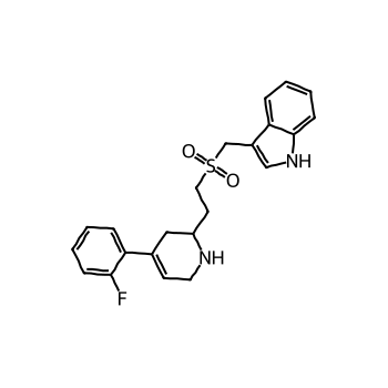 O=S(=O)(CCC1CC(c2ccccc2F)=CCN1)Cc1c[nH]c2ccccc12